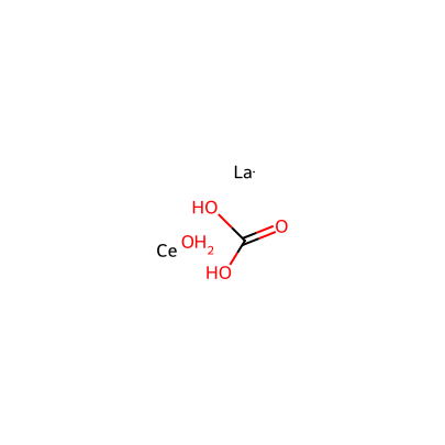 O.O=C(O)O.[Ce].[La]